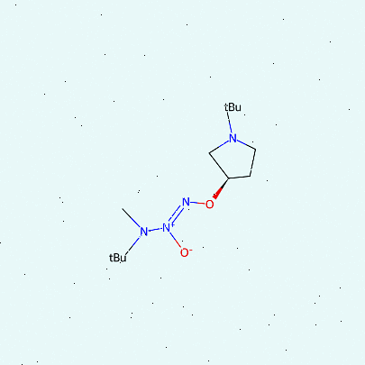 CN(/[N+]([O-])=N/O[C@@H]1CCN(C(C)(C)C)C1)C(C)(C)C